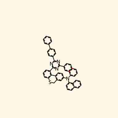 c1ccc(-c2ccc(-c3nc(-c4ccccc4)nc(-c4cccc5c4-c4ccc(N(c6ccccc6)c6cccc7ccccc67)cc4CS5)n3)cc2)cc1